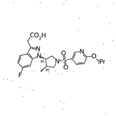 CC(C)Oc1ccc(S(=O)(=O)N2C[C@@H](C)[C@@H](n3nc(CC(=O)O)c4ccc(F)cc43)C2)cn1